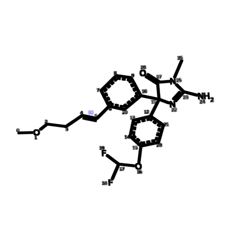 COCC/C=C/c1cccc(C2(c3ccc(OC(F)F)cc3)N=C(N)N(C)C2=O)c1